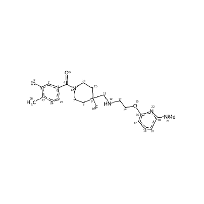 CCc1cc(C(=O)N2CCC(F)(CNCCOc3cccc(NC)n3)CC2)ccc1C